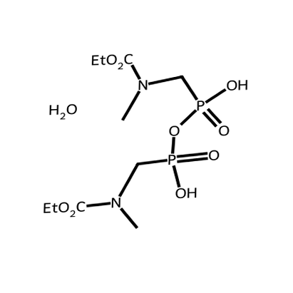 CCOC(=O)N(C)CP(=O)(O)OP(=O)(O)CN(C)C(=O)OCC.O